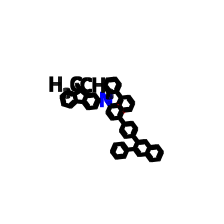 CC1(C)c2ccccc2-c2ccc(N(c3ccc(-c4ccc(-c5cc6ccccc6cc5-c5ccccc5)cc4)cc3)c3ccccc3-c3ccccc3)cc21